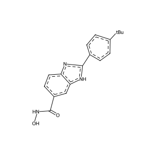 CC(C)(C)c1ccc(-c2nc3ccc(C(=O)NO)cc3[nH]2)cc1